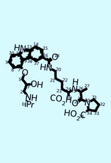 CC(C)NCC(O)COc1cccc2[nH]c3ccc(C(=O)NCCCCC(NC(C)C(=O)N4CCCC4C(=O)O)C(=O)O)cc3c12